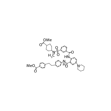 COC(=O)c1ccc(CCc2ccc(NC(=O)c3cc(N4CCCCC4)ccc3NC(=O)c3cccc(S(=O)(=O)N(C)C4CCC(C(=O)OC)CC4)c3)cc2)cc1